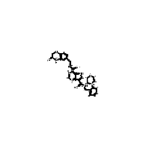 O=C1COc2ccc(CNC(=O)c3ncnc4c(C(=O)NCc5ccccc5N5CCOCC5)c[nH]c34)cc2N1